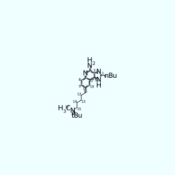 CCCCc1nc2c(N)nc3ccc(CCCCCN(C)C(C)(C)C)cc3c2[nH]1